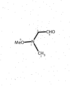 CON(C)[CH]C=O